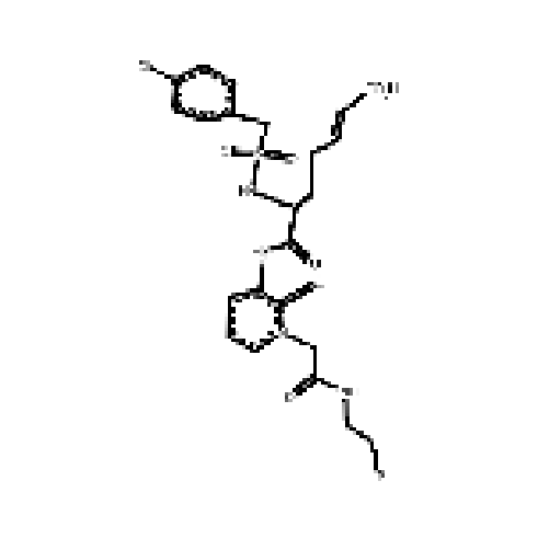 CC(C)CCNC(=O)Cn1cccc(NC(=O)C(CCC=CC(=O)O)NS(=O)(=O)Cc2ccc(Cl)cc2)c1=O